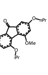 CCCOc1cc(OC)c2c(c1)C(=O)c1cccc(OC(C)C)c1-2